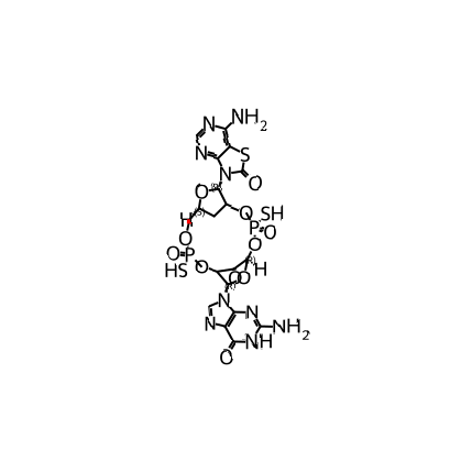 Nc1nc2c(ncn2[C@@H]2O[C@@H]3OP(=O)(S)OC4C[C@@H](COP(=O)(S)OC2C3=O)O[C@H]4n2c(=O)sc3c(N)ncnc32)c(=O)[nH]1